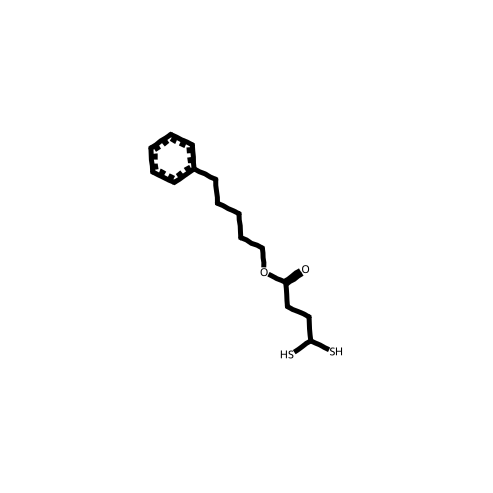 O=C(CCC(S)S)OCCCCCc1ccccc1